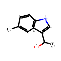 Cc1ccc2[nH]cc(C(O)C(F)(F)F)c2c1